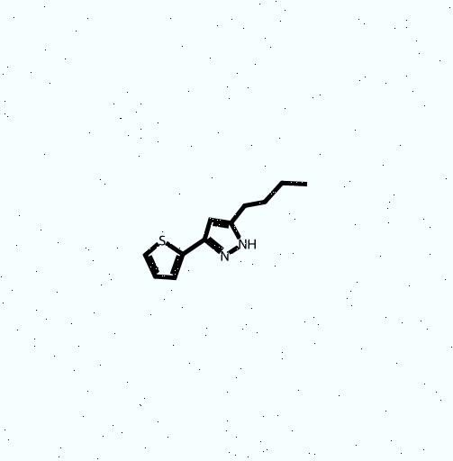 CCCCc1cc(-c2cccs2)n[nH]1